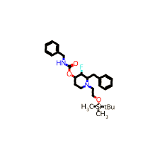 CC(C)(C)[Si](C)(C)OCCN1CCC(OC(=O)NCc2ccccc2)C(F)C1Cc1ccccc1